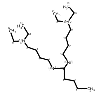 CCCCC(NCCCC[15N](CC)CC)NCCCC[15N](CC)CC